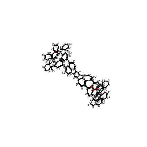 CC12CCCCC1(C)N(c1nccc3ccccc13)c1ccc(-c3ccc4c5cc6c(cc5c5ccc(-c7ccc8c(c7)C7(C)CCCCC7(C)N8c7nccc8ccccc78)c3c45)c3ccc(-c4ccc5c(c4)C4(C)CCCCC4(C)N5c4nccc5ccccc45)c4c(-c5ccc7c(c5)C5(C)CCCCC5(C)N7c5nccc7ccccc57)ccc6c43)cc12